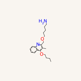 CCCCOc1c(C)c(COCCCCCN)nc2ccccc12